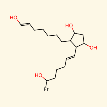 CCC(O)CCCC=CC1C(O)CC(O)C1CCCCCC=CO